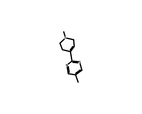 Cc1cnc(C2=CCN(C)CC2)nc1